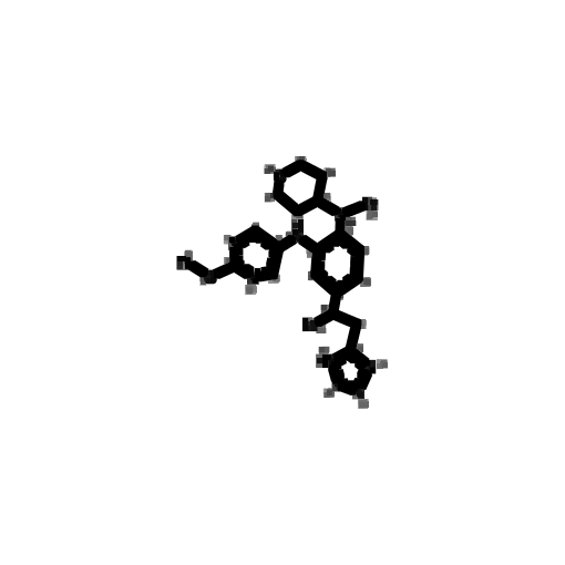 CCOc1ncc(Nc2cc(C(CC)Cc3nnn[nH]3)ccc2N(CC)C2CCOCC2)cn1